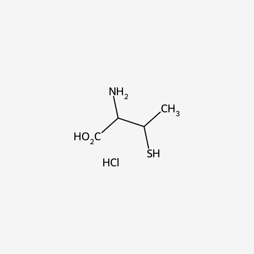 CC(S)C(N)C(=O)O.Cl